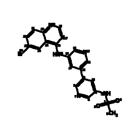 CS(=O)(=O)Nc1cncc(-c2cncc(Nc3ncnc4ccc(Br)cc34)c2)c1